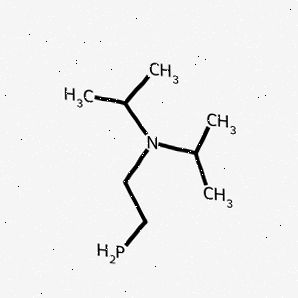 CC(C)N(CCP)C(C)C